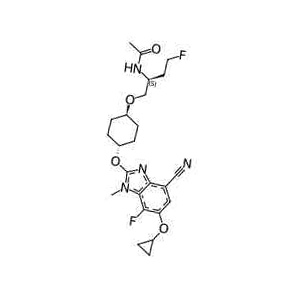 CC(=O)N[C@@H](CCF)CO[C@H]1CC[C@H](Oc2nc3c(C#N)cc(OC4CC4)c(F)c3n2C)CC1